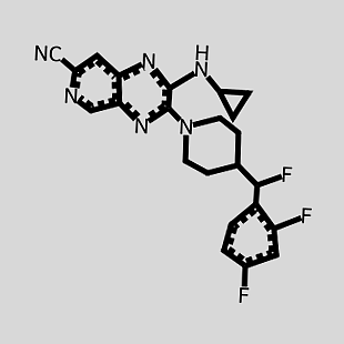 N#Cc1cc2nc(NC3CC3)c(N3CCC(C(F)c4ccc(F)cc4F)CC3)nc2cn1